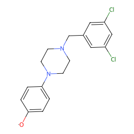 [O]c1ccc(N2CCN(Cc3cc(Cl)cc(Cl)c3)CC2)cc1